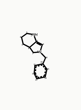 C1=C2NCCCC2CN1Cc1ccccc1